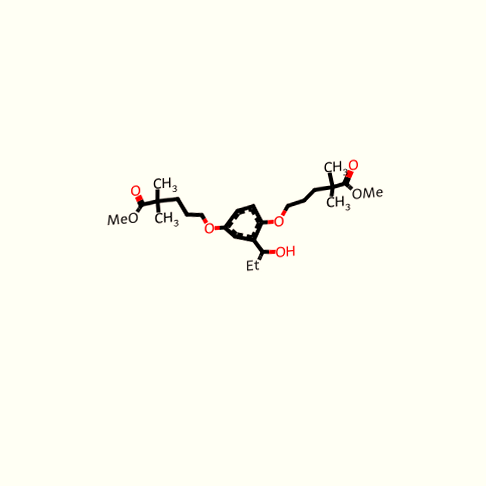 CCC(O)c1cc(OCCCC(C)(C)C(=O)OC)ccc1OCCCC(C)(C)C(=O)OC